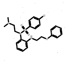 CN(C)CCN(c1ccccc1NCCOc1ccccc1)S(=O)(=O)c1ccc(Cl)cc1